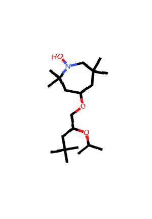 CC(C)OC(COC1CC(C)(C)CN(O)C(C)(C)C1)CC(C)(C)C